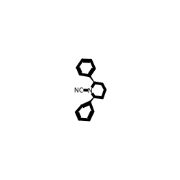 N#CN1[C@@H](c2ccccc2)CCC[C@H]1c1ccccc1